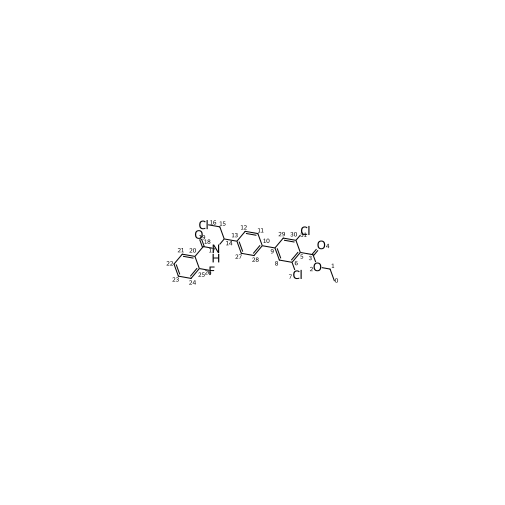 CCOC(=O)c1c(Cl)cc(-c2ccc(C(CCl)NC(=O)c3ccccc3F)cc2)cc1Cl